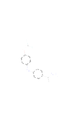 CC(N)c1ccc(Nc2ccc(OC(F)F)cc2)cc1